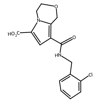 O=C(NCc1ccccc1Cl)c1cc(C(=O)O)n2c1COCC2